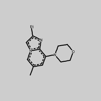 CCc1cn2cc(C)cc(N3CCOCC3)c2n1